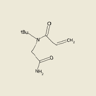 C=CC(=O)N(CC(N)=O)C(C)(C)C